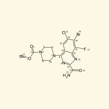 CC(C)(C)OC(=O)N1CCN(c2nc(C(N)=O)nc3c(F)c(Br)c(Cl)cc23)CC1